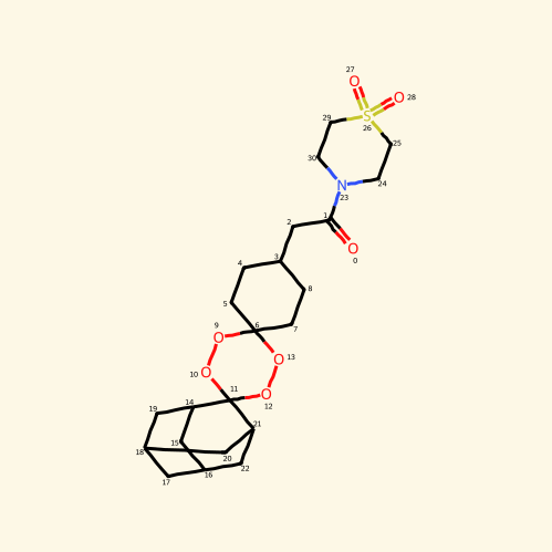 O=C(CC1CCC2(CC1)OOC1(OO2)C2CC3CC(C2)CC1C3)N1CCS(=O)(=O)CC1